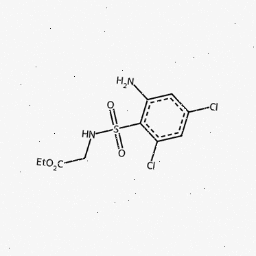 CCOC(=O)CNS(=O)(=O)c1c(N)cc(Cl)cc1Cl